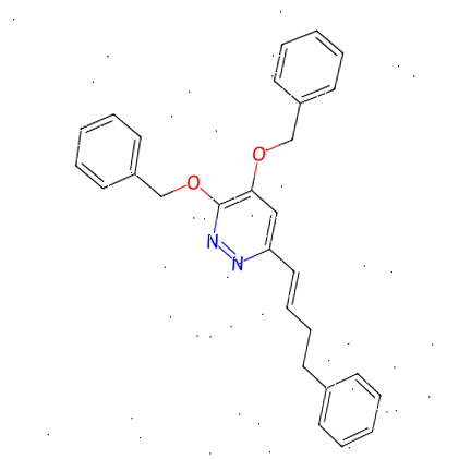 C(=C\c1cc(OCc2ccccc2)c(OCc2ccccc2)nn1)/CCc1ccccc1